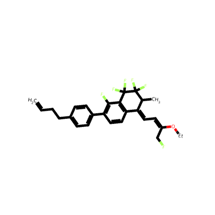 C=CCCc1ccc(-c2ccc3c(c2F)C(F)(F)C(F)(F)C(C)/C3=C\C=C(/CF)OCC)cc1